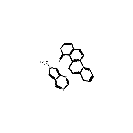 O=C(O)n1cc2cncnc2c1.O=C1CC=Cc2ccc3c(c21)CC=C1CC=CC=C13